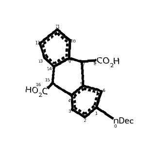 CCCCCCCCCCc1ccc2c(c1)C(C(=O)O)c1ccccc1C2C(=O)O